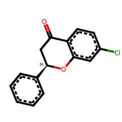 O=C1C[C@H](c2ccccc2)Oc2cc(Cl)ccc21